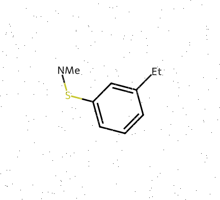 CCc1cccc(SNC)c1